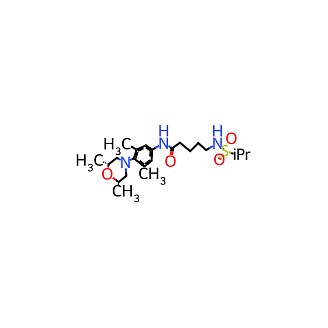 Cc1cc(NC(=O)CCCCNS(=O)(=O)C(C)C)cc(C)c1N1C[C@@H](C)O[C@@H](C)C1